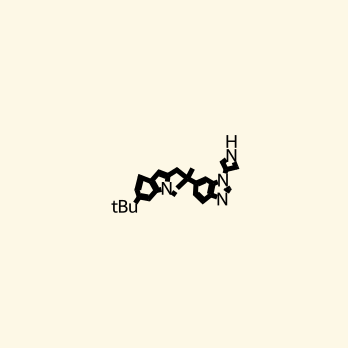 Cn1c(CC(C)(C)c2ccc3ncn(C4CNC4)c3c2)cc2ccc(C(C)(C)C)cc21